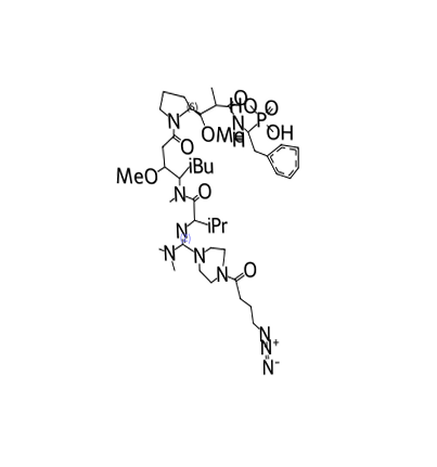 CCC(C)C(C(CC(=O)N1CCC[C@H]1C(OC)C(C)C(=O)NC(Cc1ccccc1)P(=O)(O)O)OC)N(C)C(=O)C(/N=C(/N(C)C)N1CCN(C(=O)CCCN=[N+]=[N-])CC1)C(C)C